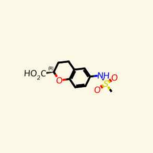 CS(=O)(=O)Nc1ccc2c(c1)CC[C@H](C(=O)O)O2